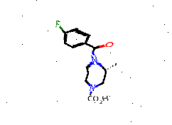 C[C@@H]1CN(C(=O)O)CCN1C(=O)c1ccc(F)cc1